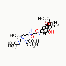 CC(CCC(=O)O)[C@H]1CCC2C3C(C[C@H](O)[C@@]21C)[C@@]1(C)CC[C@H](NC(=O)CCC(=O)NCCCC[C@@H](C(=O)O)N(CCN(CC(=O)O)CC(=O)O)CCN(CC(=O)O)CC(=O)O)C[C@H]1C[C@H]3O